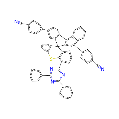 N#Cc1ccc(-c2ccc3c(c2)C2(c4ccccc4Sc4c(-c5nc(-c6ccccc6)nc(-c6ccccc6)n5)cccc42)c2cc(-c4ccc(C#N)cc4)c4ccccc4c2-3)cc1